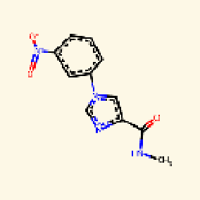 CNC(=O)c1cn(-c2cccc([N+](=O)[O-])c2)cn1